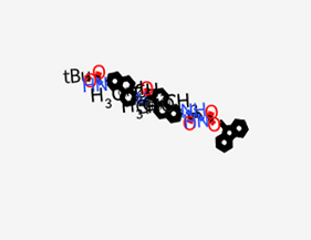 CC(C)(C)OC(=O)Nc1ccc2c(c1)[C@@]1(C)CCC[C@](C)(N(C=O)C(=O)[C@@]3(C)CCC[C@]4(C)c5cc(NC(=O)CNC(=O)OCC6c7ccccc7-c7ccccc76)ccc5CC[C@@H]34)[C@@H]1CC2